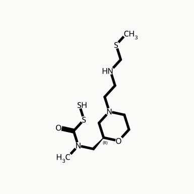 CSCNCCN1CCO[C@@H](CN(C)C(=O)SS)C1